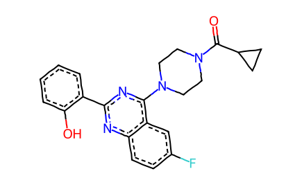 O=C(C1CC1)N1CCN(c2nc(-c3ccccc3O)nc3ccc(F)cc23)CC1